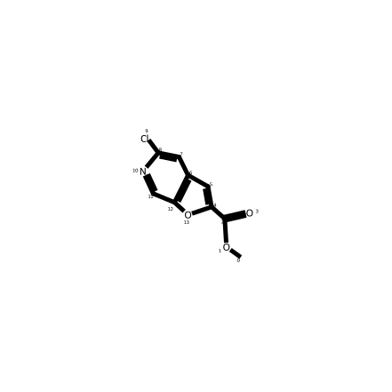 COC(=O)c1cc2cc(Cl)ncc2o1